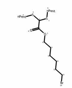 CCCCCSC(SCCCCC)C(=O)OCCCCCCBr